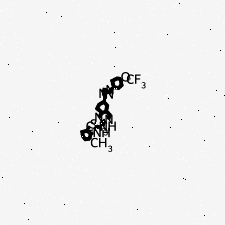 Cc1cccc(C)c1NC(=S)Nc1ncc2cc(-c3ncn(-c4ccc(OC(F)(F)F)cc4)n3)ccc2n1